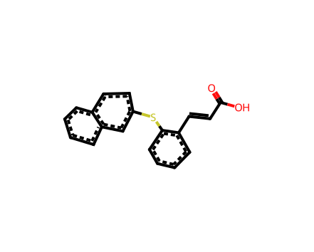 O=C(O)/C=C/c1ccccc1Sc1ccc2ccccc2c1